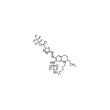 CCCCN1c2cc(NS(=O)(=O)C(F)(F)F)c(N=Nc3nnc(C(=O)OC(F)(F)C(F)(F)F)s3)cc2CCC1CC